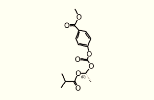 COC(=O)c1ccc(OC(=O)O[C@H](C)OC(=O)C(C)C)cc1